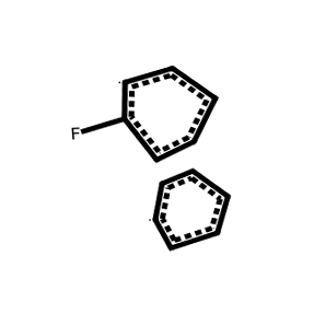 Fc1[c]cccc1.[c]1ccccc1